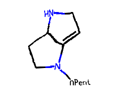 CCCCCN1CCC2NCC=C21